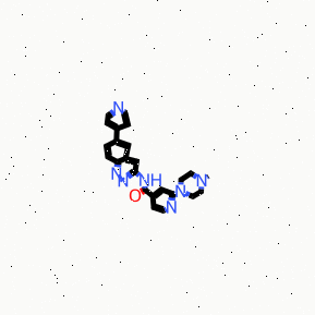 CN1CCN(c2cc(C(=O)Nc3cc4cc(-c5ccncc5)ccc4nn3)ccn2)CC1